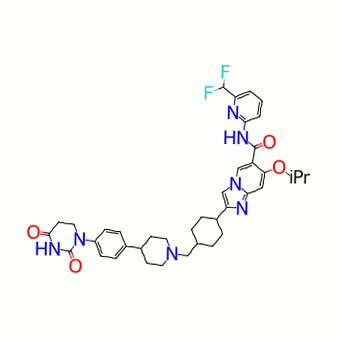 CC(C)Oc1cc2nc(C3CCC(CN4CCC(c5ccc(N6CCC(=O)NC6=O)cc5)CC4)CC3)cn2cc1C(=O)Nc1cccc(C(F)F)n1